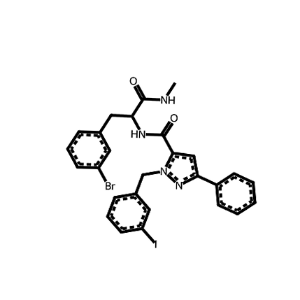 CNC(=O)C(Cc1cccc(Br)c1)NC(=O)c1cc(-c2ccccc2)nn1Cc1cccc(I)c1